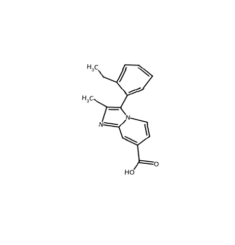 CCc1ccccc1-c1c(C)nc2cc(C(=O)O)ccn12